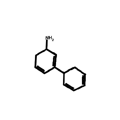 NC1C=C(C2C=CC=CC2)C=CC1